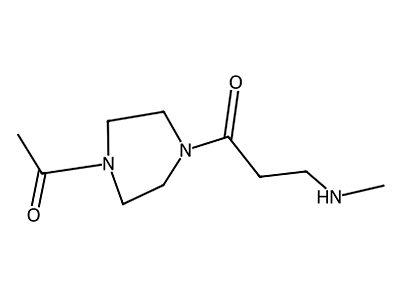 CNCCC(=O)N1CCN(C(C)=O)CC1